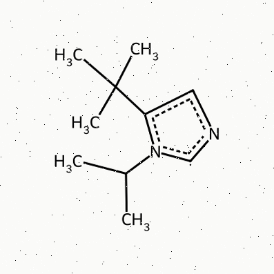 CC(C)n1[c]ncc1C(C)(C)C